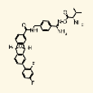 CC(C)[C@H](N)C(=O)ON=C(N)c1ccc(CNC(=O)c2ccc3c(c2)[C@@H]2O[C@H]3c3ccc(-c4ccc(F)cc4F)cc32)cc1